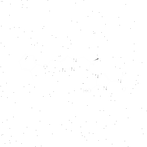 Cc1ccccc1OCc1cn(C[C@@H](C)Cn2cc([N+](=O)[O-])nc2O)nn1